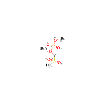 CC(C)(C)OP(=O)(OCS(C)(=O)=O)OC(C)(C)C